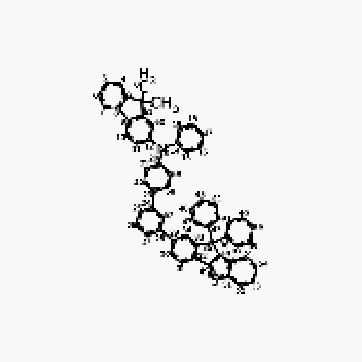 CC1(C)c2ccccc2-c2ccc(N(c3ccccc3)c3ccc(-c4cccc(-c5ccc6c(c5)C(c5ccccc5)(c5ccccc5)c5c-6sc6ccccc56)c4)cc3)cc21